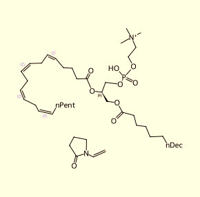 C=CN1CCCC1=O.CCCCC/C=C\C/C=C\C/C=C\C/C=C\CCCC(=O)O[C@H](COC(=O)CCCCCCCCCCCCCCC)COP(=O)(O)OCC[N+](C)(C)C